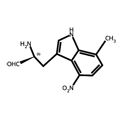 Cc1ccc([N+](=O)[O-])c2c(C[C@H](N)[C]=O)c[nH]c12